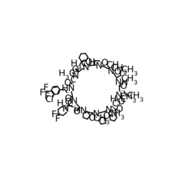 CC[C@H](C)[C@@H]1NC(=O)[C@H](CC(C)C)N(C)C(=O)C[C@@H](C(=O)N2CCCC2)N(C)C(=O)[C@H](C2CCCC2)N(C)C(=O)C2(CCCC2)NC(=O)[C@H](CC(=O)N2CCC(F)(F)CC2)N(C)C(=O)[C@H](CCc2ccc(C(F)(F)F)c(Cl)c2)NC(=O)CN(C)C(=O)[C@H](CC2CCCCC2)N(C)C(=O)[C@@H]2CCN2C(=O)[C@H](C)N(C)C1=O